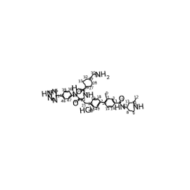 Cc1cc(C(=O)NC2CCNC(C)C2)ccc1-c1ccc(C[C@H](NC(=O)C2CCC(CN)CC2)C(=O)Nc2ccc(-c3nn[nH]n3)cc2)cc1.Cl